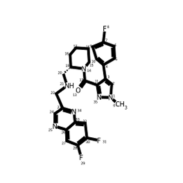 Cn1cc(-c2ccc(F)cc2)c(C(=O)N2CCCC[C@H]2CNCc2cnc3cc(F)c(F)cc3n2)n1